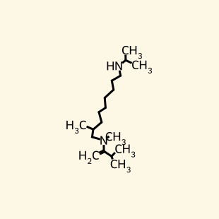 C=C(C(C)C)N(C)CC(C)CCCCCCCNC(C)C